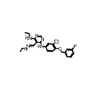 CCNc1ncnc(Nc2ccc(OCc3cccc(F)c3)c(Cl)c2)c1/C=N/OCC